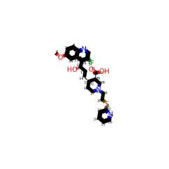 COc1ccc2ncc(F)c([C@@H](O)CC[C@H]3CCN(CCSc4ccccn4)C[C@H]3C(=O)O)c2c1